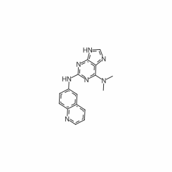 CN(C)c1nc(Nc2ccc3ncccc3c2)nc2[nH]cnc12